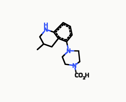 CC1CNc2cccc(N3CCN(C(=O)O)CC3)c2C1